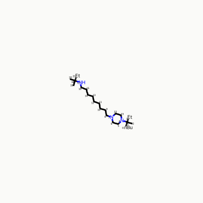 CCCCC(C)(CC)N1CCN(CCCCCCCCCNC(C)(C)CC)CC1